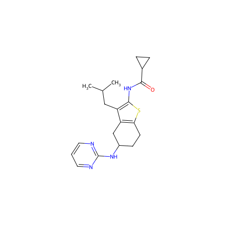 CC(C)Cc1c(NC(=O)C2CC2)sc2c1CC(Nc1ncccn1)CC2